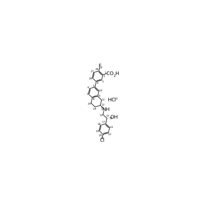 Cl.O=C(O)c1cc(-c2ccc3c(c2)C[C@@H](NC[C@H](O)c2ccc(Cl)cc2)CC3)ccc1F